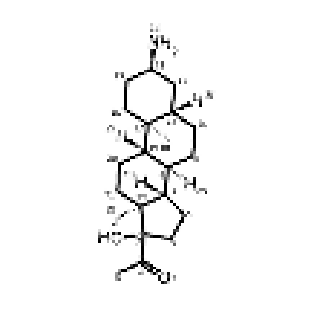 CC(=O)[C@@]1(O)CC[C@H]2[C@@H]3CC[C@H]4C[C@H](N)CC[C@]4(C)[C@H]3CC[C@@]21C